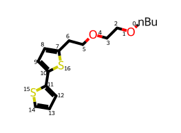 CCCCOCCOCCc1ccc(-c2cccs2)s1